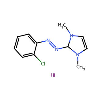 CN1C=CN(C)C1N=Nc1ccccc1Cl.I